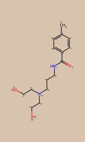 Cc1ccc(C(=O)NCCCN(CCO)CCO)cc1